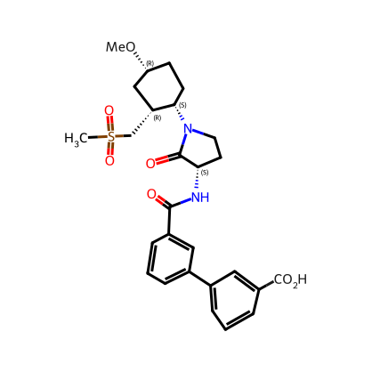 CO[C@@H]1CC[C@H](N2CC[C@H](NC(=O)c3cccc(-c4cccc(C(=O)O)c4)c3)C2=O)[C@H](CS(C)(=O)=O)C1